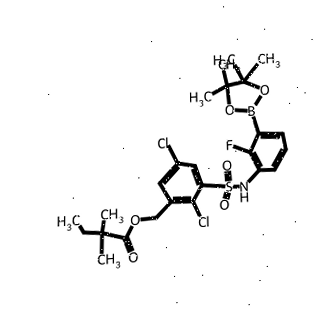 CCC(C)(C)C(=O)OCc1cc(Cl)cc(S(=O)(=O)Nc2cccc(B3OC(C)(C)C(C)(C)O3)c2F)c1Cl